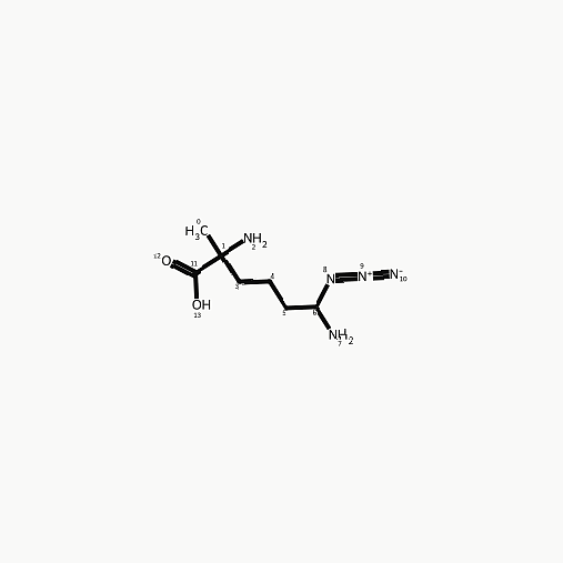 CC(N)(CCCC(N)N=[N+]=[N-])C(=O)O